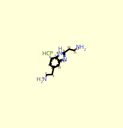 Cl.NCCc1ccc2[nH]c(CCN)nc2c1